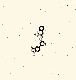 Cc1n[nH]c2ccc(-c3cncc(OC[C@@H](N)Cc4ccccc4F)c3)cc12